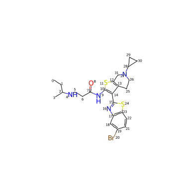 CCC(C)NCCC(=O)Nc1sc2c(c1-c1nc3cc(Br)ccc3s1)CCN(C1CC1)C2